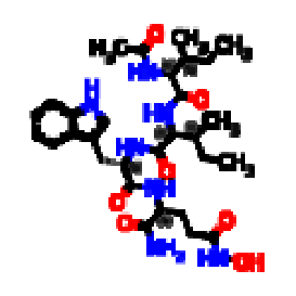 CC[C@H](C)[C@H](NC(C)=O)C(=O)N[C@H](C(=O)N[C@@H](Cc1c[nH]c2ccccc12)C(=O)N[C@@H](CCC(=O)NO)C(N)=O)[C@@H](C)CC